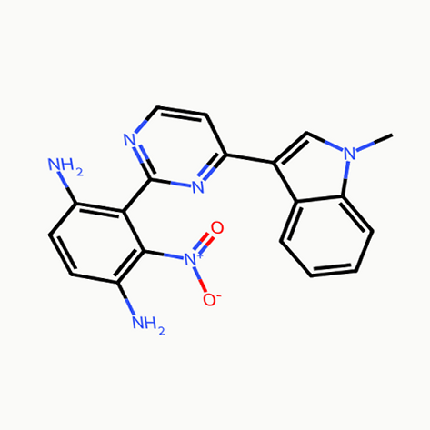 Cn1cc(-c2ccnc(-c3c(N)ccc(N)c3[N+](=O)[O-])n2)c2ccccc21